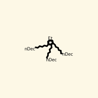 [CH2]Cc1cc(CCCCCCCCCCCCCCCC)c(CCCCCCCCCCCCCCCC)c(CCCCCCCCCCCCCCCC)c1